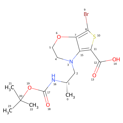 C[C@@H](CN1CCOc2c(Br)sc(C(=O)O)c21)NC(=O)OC(C)(C)C